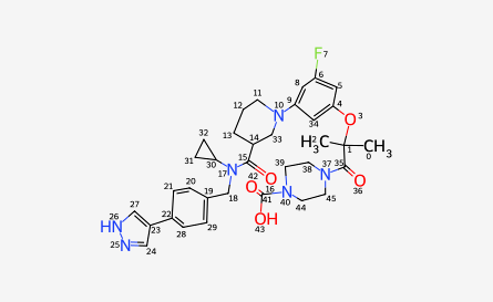 CC(C)(Oc1cc(F)cc(N2CCCC(C(=O)N(Cc3ccc(-c4cn[nH]c4)cc3)C3CC3)C2)c1)C(=O)N1CCN(C(=O)O)CC1